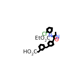 CCOC(=O)N(c1ccccc1Cl)c1c(C)noc1-c1ccc(Cc2cccc(CC(=O)O)c2)cc1